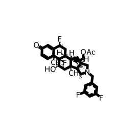 CC(=O)OCC(=O)[C@@]12CN(Cc3cc(F)cc(F)c3)C[C@@H]1C[C@H]1[C@@H]3C[C@H](F)C4=CC(=O)C=C[C@]4(C)[C@@]3(F)[C@@H](O)C[C@@]12C